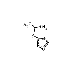 CC(C)Sc1cocn1